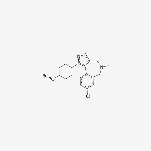 CC[C@H](C)OC1CCC(c2nnc3n2-c2ccc(Cl)cc2CN(C)C3)CC1